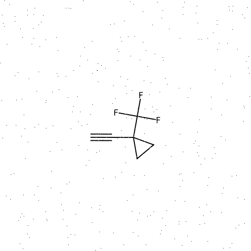 C#CC1(C(F)(F)F)CC1